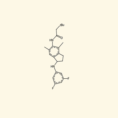 Cc1cc2c(c(C)c1NC(=O)CC(C)(C)C)CCC2Nc1cc(F)cc(F)c1